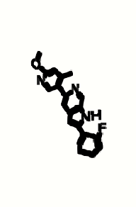 COc1cc(C)c(-c2cc3cc(-c4ccccc4F)[nH]c3cn2)cn1